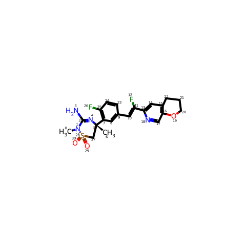 CN1C(N)=N[C@](C)(c2cc(/C=C(\F)c3cc4c(cn3)OCCC4)ccc2F)CS1(=O)=O